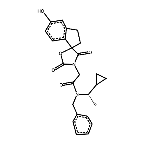 C[C@@H](C1CC1)N(Cc1ccccc1)C(=O)CN1C(=O)OC2(CCc3cc(O)ccc32)C1=O